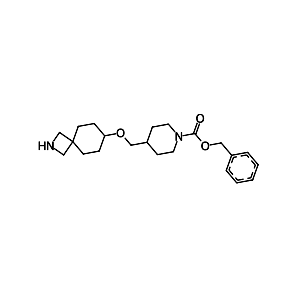 O=C(OCc1ccccc1)N1CCC(COC2CCC3(CC2)CNC3)CC1